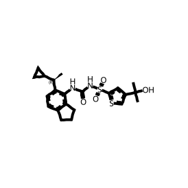 C[C@@H](c1ccc2c(c1NC(=O)NS(=O)(=O)c1cc(C(C)(C)O)cs1)CCC2)C1CC1